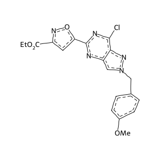 CCOC(=O)c1cc(-c2nc(Cl)c3nn(Cc4ccc(OC)cc4)cc3n2)on1